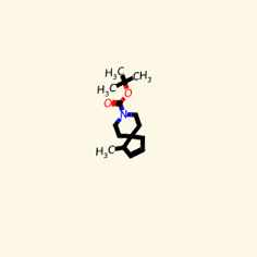 CC1C=CCC12CCN(C(=O)OC(C)(C)C)CC2